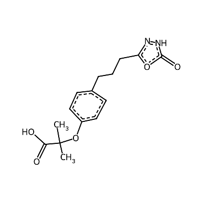 CC(C)(Oc1ccc(CCCc2n[nH]c(=O)o2)cc1)C(=O)O